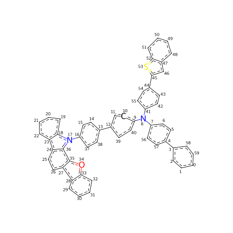 c1ccc(-c2ccc(N(c3ccc(-c4ccc(-n5c6ccccc6c6ccc7c8ccccc8oc7c65)cc4)cc3)c3ccc(-c4cc5ccccc5s4)cc3)cc2)cc1